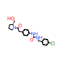 O=C(NCc1ccc(Cl)cc1)Nc1ccc(CC(=O)N2CCC[C@H]2CO)cc1